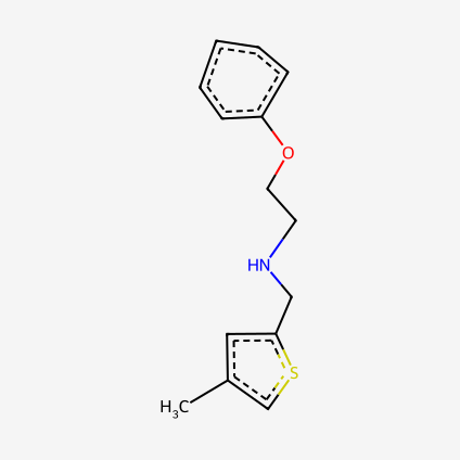 Cc1csc(CNCCOc2ccccc2)c1